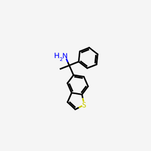 CC(N)(c1ccccc1)c1ccc2sccc2c1